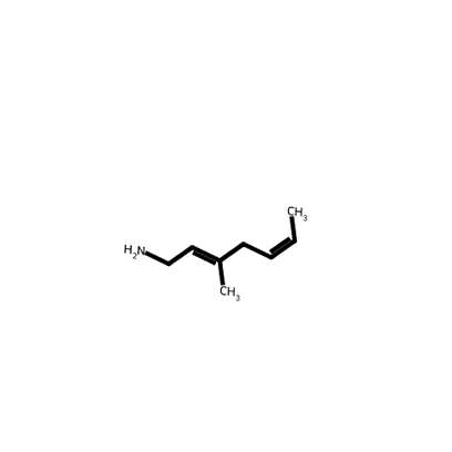 C/C=C\C/C(C)=C/CN